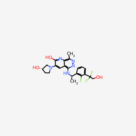 Cc1nnc(N[C@H](C)c2cccc(C(F)(F)CO)c2F)c2cc(N3CC[C@H](O)C3)c(O)nc12